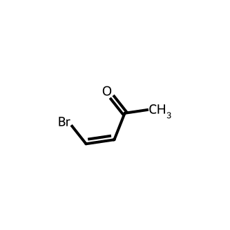 CC(=O)/C=C\Br